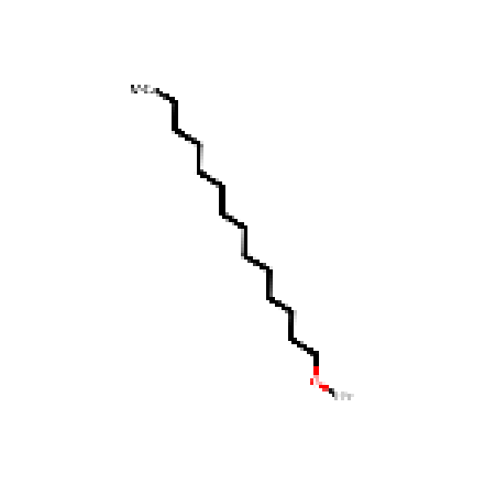 CCCOCCCCCCCCCCCCCSC